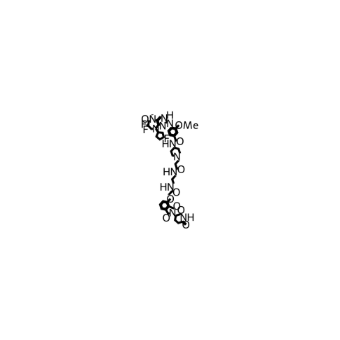 COc1cc(C(=O)NC2CCN(CCC(=O)NCCCNC(=O)COc3cccc4c3C(=O)N(C3CCC(=O)NC3=O)C4=O)CC2)c(F)cc1Nc1ncc2c(n1)N(C1CCCC1)CC(F)(F)C(=O)N2C